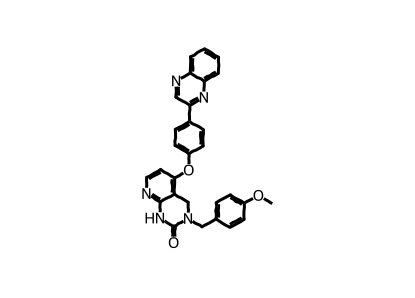 COc1ccc(CN2Cc3c(Oc4ccc(-c5cnc6ccccc6n5)cc4)ccnc3NC2=O)cc1